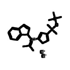 C[C](C)=[Zr+2]([C]1=CC([Si](C)(C)O[Si](C)(C)C)=CC1)[CH]1C=Cc2ccccc21.[Cl-].[Cl-]